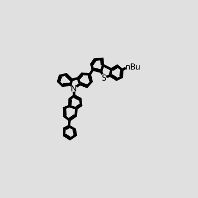 CCCCc1ccc2sc3c(-c4ccc5c(c4)c4ccccc4n5-c4ccc5cc(-c6ccccc6)ccc5c4)cccc3c2c1